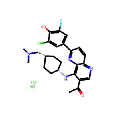 CC(=O)c1cnc2ccc(-c3cc(F)c(O)c(Cl)c3)nc2c1N[C@H]1CC[C@@H](CN(C)C)CC1.Cl.Cl